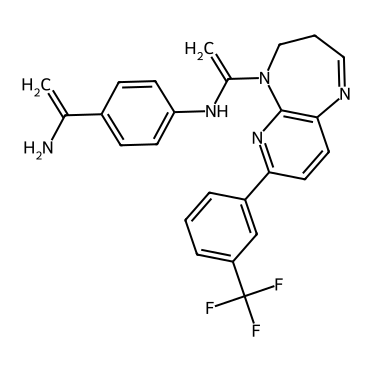 C=C(N)c1ccc(NC(=C)N2CCC=Nc3ccc(-c4cccc(C(F)(F)F)c4)nc32)cc1